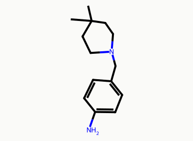 CC1(C)CCN(Cc2ccc(N)cc2)CC1